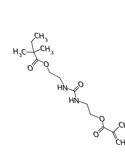 C=C(C)C(=O)OCCNC(=O)NCCOC(=O)C(C)(C)CC